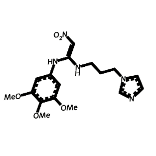 COc1cc(N/C(=C\[N+](=O)[O-])NCCCn2ccnc2)cc(OC)c1OC